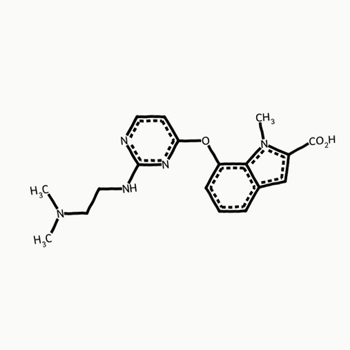 CN(C)CCNc1nccc(Oc2cccc3cc(C(=O)O)n(C)c23)n1